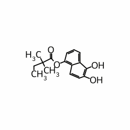 CCC(C)(C)C(=O)Oc1cccc2c(O)c(O)ccc12